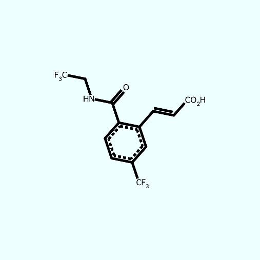 O=C(O)C=Cc1cc(C(F)(F)F)ccc1C(=O)NCC(F)(F)F